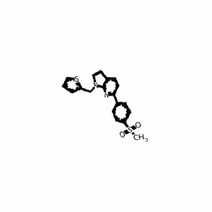 CS(=O)(=O)c1ccc(-c2ccc3c(n2)N(Cc2cccs2)CC3)cc1